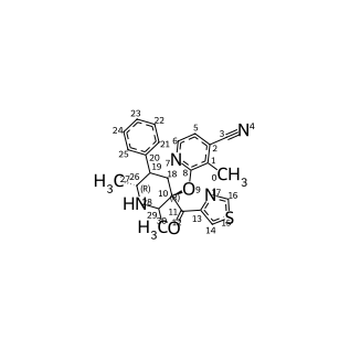 Cc1c(C#N)ccnc1O[C@]1(C(=O)c2cscn2)CC(c2ccccc2)[C@@H](C)NC1C